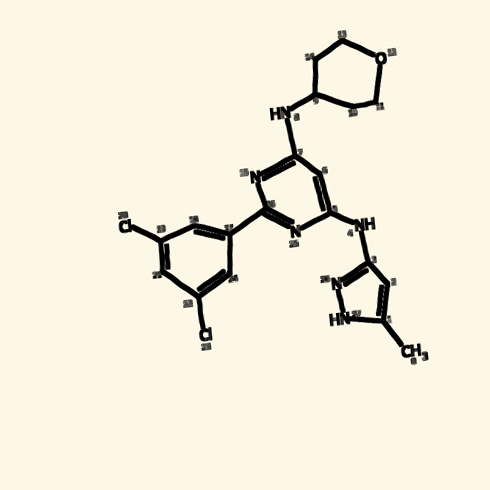 Cc1cc(Nc2cc(NC3CCOCC3)nc(-c3cc(Cl)cc(Cl)c3)n2)n[nH]1